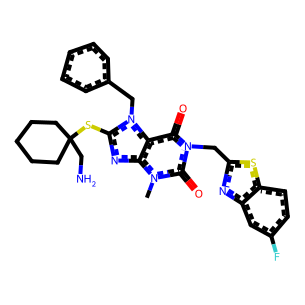 Cn1c(=O)n(Cc2nc3cc(F)ccc3s2)c(=O)c2c1nc(SC1(CN)CCCCC1)n2Cc1ccccc1